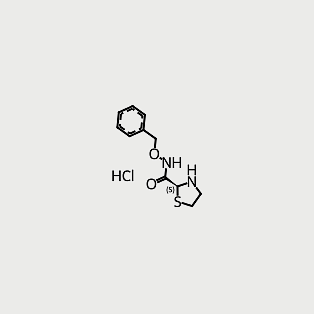 Cl.O=C(NOCc1ccccc1)[C@H]1NCCS1